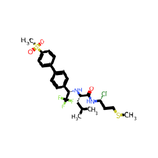 CSCC[C@@H](Cl)NC(=O)[C@H](CC(C)C)N[C@@H](c1ccc(-c2ccc(S(C)(=O)=O)cc2)cc1)C(F)(F)F